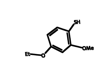 CCOc1ccc(S)c(OC)c1